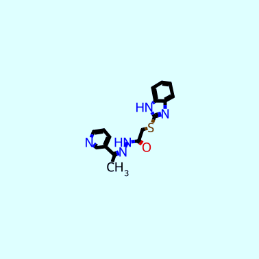 C/C(=N/NC(=O)CSc1nc2ccccc2[nH]1)c1cccnc1